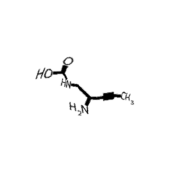 CC#CC(N)CNC(=O)O